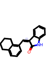 O=C1Nc2ccccc2/C1=C/c1cccc2c1CCCC2